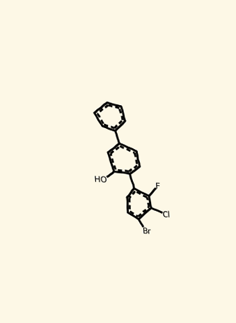 Oc1cc(-c2ccccc2)ccc1-c1ccc(Br)c(Cl)c1F